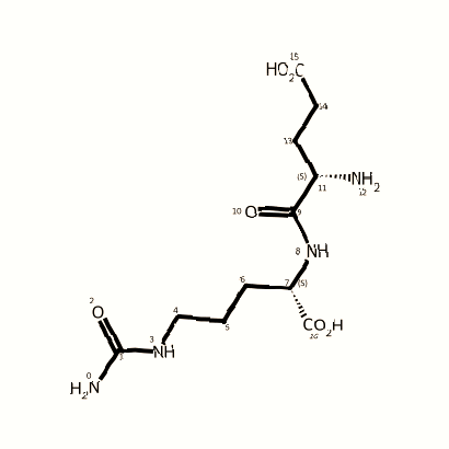 NC(=O)NCCC[C@H](NC(=O)[C@@H](N)CCC(=O)O)C(=O)O